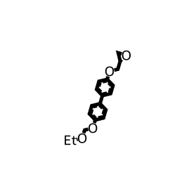 CCOCOc1ccc(-c2ccc(OCC3CO3)cc2)cc1